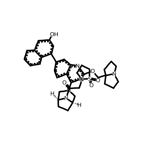 O=C(CN1CCCS1(=O)=O)N1[C@@H]2CC[C@H]1CN(c1nc(OCC34CCCN3CCC4)nc3cc(-c4cc(O)cc5ccccc45)ccc13)C2